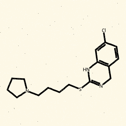 Clc1ccc2c(c1)NC(SCCCCN1CCCC1)=NC2